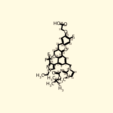 CCn1cc(-c2cc(Cn3ccn(C)c3=NC(=O)OC(C)(C)C)cc3c2OCC(Cc2ccc(F)c(OCC(=O)O)c2)C3=O)c(C(F)(F)F)n1